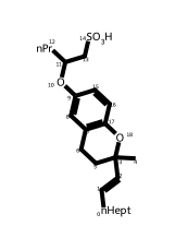 CCCCCCCC=CC1(C)CCc2cc(OC(CCC)CS(=O)(=O)O)ccc2O1